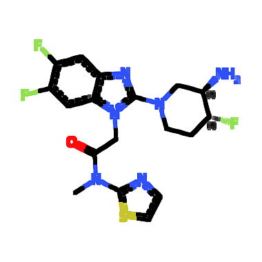 CN(C(=O)Cn1c(N2CC[C@@H](F)[C@H](N)C2)nc2cc(F)c(F)cc21)c1nccs1